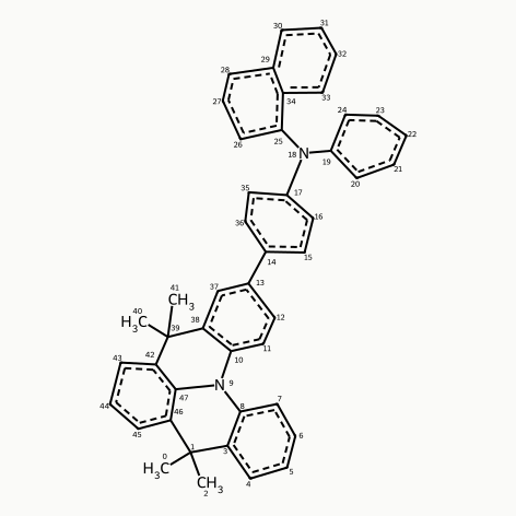 CC1(C)c2ccccc2N2c3ccc(-c4ccc(N(c5ccccc5)c5cccc6ccccc56)cc4)cc3C(C)(C)c3cccc1c32